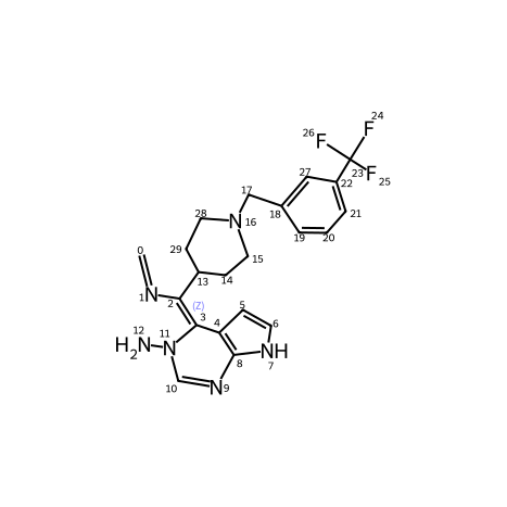 C=N/C(=C1/c2cc[nH]c2N=CN1N)C1CCN(Cc2cccc(C(F)(F)F)c2)CC1